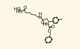 Cc1ccc(C(CC(=O)NCCCCCC(=O)NO)NC(=O)OCc2ccccc2)cc1